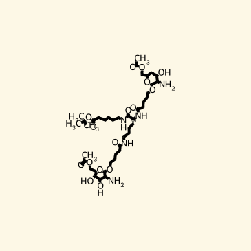 CC(=O)OCC1CC(O)C(N)C(OCCCCC(=O)N[C@@H](CCCCNC(=O)CCCCOC2OC(COC(C)=O)C(O)C(O)C2N)C(=O)NCCCCCC(=O)OC(C)(C)C)O1